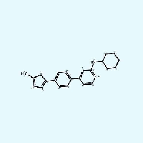 Cc1nnc(-c2ccc(-c3ccnc(NC4CCCCC4)n3)cc2)o1